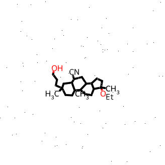 CCOC1(C)CCC2C3CC(C#N)C4CC(C)(CCCO)CCC4(C)C3CCC21